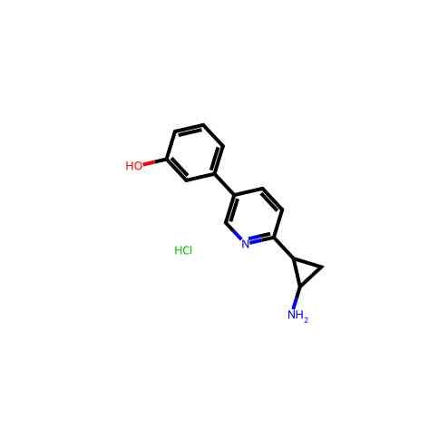 Cl.NC1CC1c1ccc(-c2cccc(O)c2)cn1